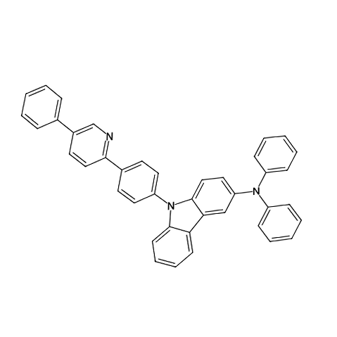 c1ccc(-c2ccc(-c3ccc(-n4c5ccccc5c5cc(N(c6ccccc6)c6ccccc6)ccc54)cc3)nc2)cc1